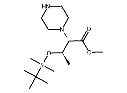 COC(=O)[C@H]([C@@H](C)O[Si](C)(C)C(C)(C)C)N1CCNCC1